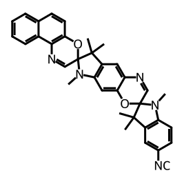 [C-]#[N+]c1ccc2c(c1)C(C)(C)C1(C=Nc3cc4c(cc3O1)N(C)C1(C=Nc3c(ccc5ccccc35)O1)C4(C)C)N2C